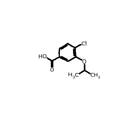 CC(C)Oc1cc(C(=O)O)ccc1Cl